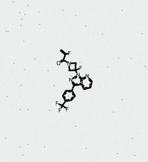 C=C(F)C(=O)N1CC(F)(n2nc(-c3ccc(C(F)(F)F)cc3)c3cccnc32)C1